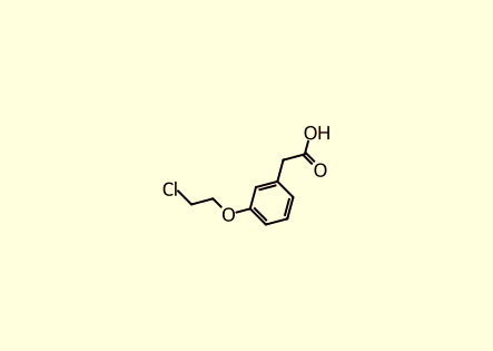 O=C(O)Cc1cccc(OCCCl)c1